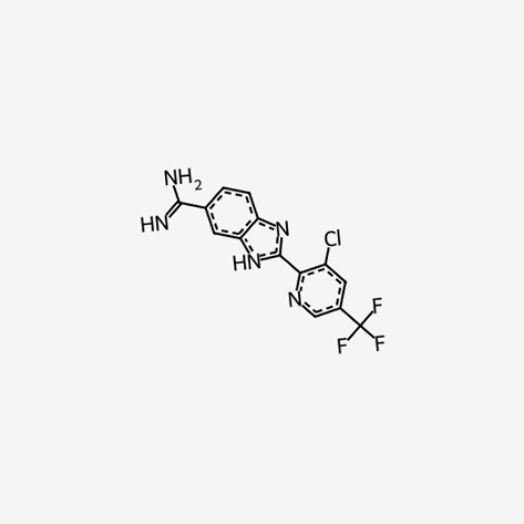 N=C(N)c1ccc2nc(-c3ncc(C(F)(F)F)cc3Cl)[nH]c2c1